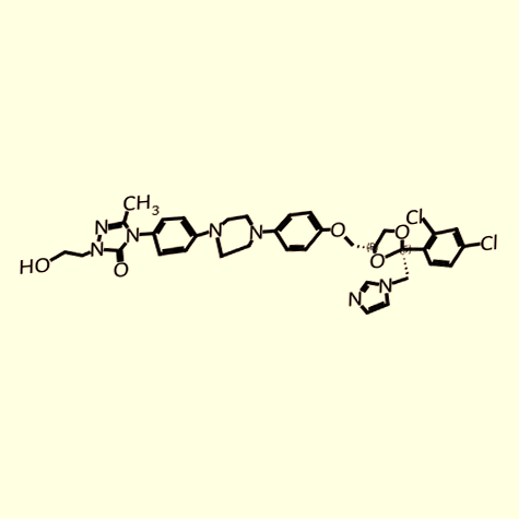 Cc1nn(CCO)c(=O)n1-c1ccc(N2CCN(c3ccc(OC[C@@H]4CO[C@@](Cn5ccnc5)(c5ccc(Cl)cc5Cl)O4)cc3)CC2)cc1